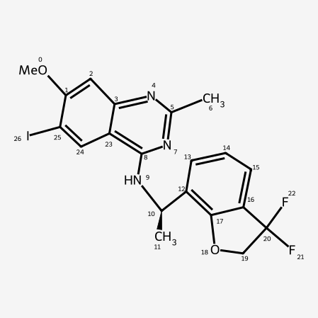 COc1cc2nc(C)nc(N[C@H](C)c3cccc4c3OCC4(F)F)c2cc1I